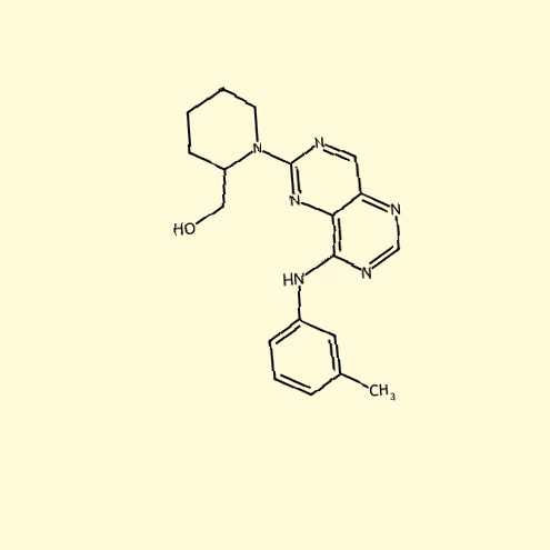 Cc1cccc(Nc2ncnc3cnc(N4CCCCC4CO)nc23)c1